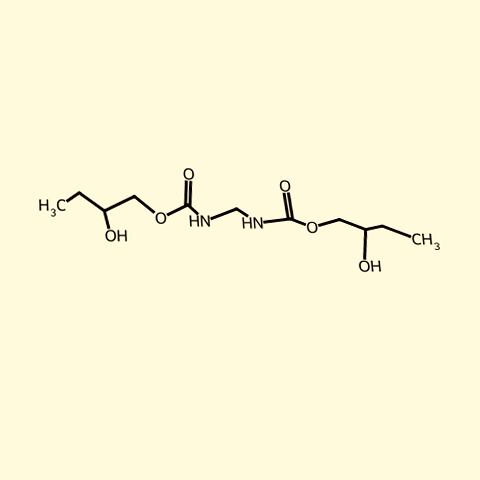 CCC(O)COC(=O)NCNC(=O)OCC(O)CC